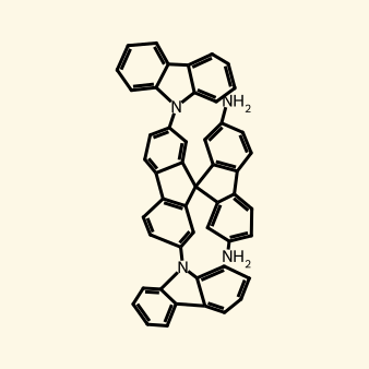 Nc1ccc2c(c1)C1(c3cc(N)ccc3-2)c2cc(-n3c4ccccc4c4ccccc43)ccc2-c2ccc(-n3c4ccccc4c4ccccc43)cc21